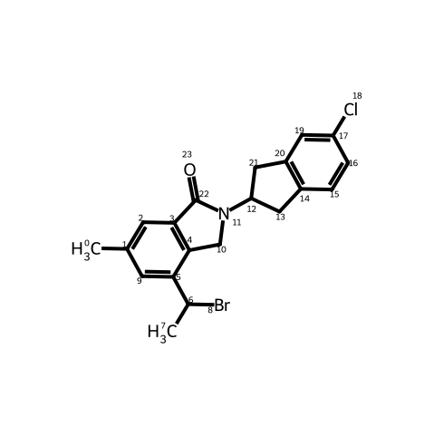 Cc1cc2c(c(C(C)Br)c1)CN(C1Cc3ccc(Cl)cc3C1)C2=O